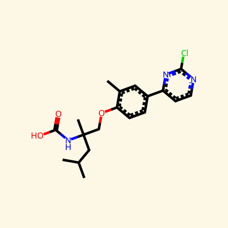 Cc1cc(-c2ccnc(Cl)n2)ccc1OCC(C)(CC(C)C)NC(=O)O